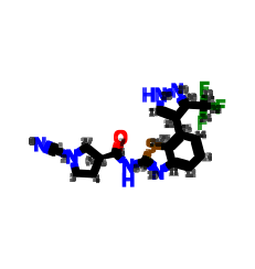 N#CN1CC[C@H](C(=O)Nc2nc3cccc(-c4c[nH]nc4C(F)(F)F)c3s2)C1